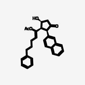 CC(=O)OC(=CCCCc1ccccc1)[C@H]1[C@H](O)CC(=O)[C@H]1c1ccc2ccccc2c1